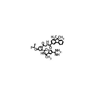 C[C@@H](NC(=O)[C@@H]1C[C@@H](OC(F)F)CN1C(=O)CNC(=O)c1ccc2c(c1)-c1ccccc1C2(C)C)c1cc(C(=N)N)cs1